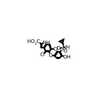 O=C(O)c1cc2c(Cl)c(Oc3ccc(O)c(S(=O)(=O)NC4CC4)c3)c(Cl)cc2[nH]1